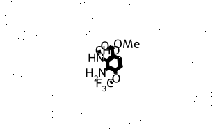 COC(=O)c1ccc(OC(F)(F)F)c(N)c1NC=O